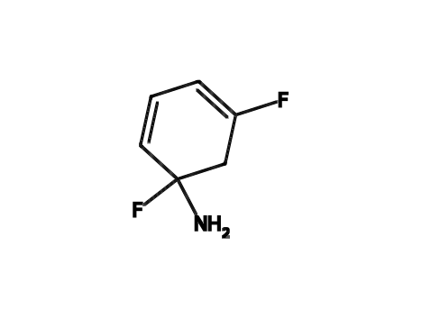 NC1(F)C=CC=C(F)C1